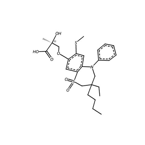 CCCCC1(CC)CN(c2ccccc2)c2cc(SC)c(OC[C@](C)(O)C(=O)O)cc2S(=O)(=O)C1